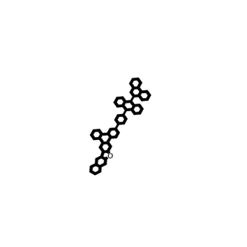 c1ccc2cc3c(cc2c1)oc1cc2c4ccc(-c5ccc(-c6c7ccccc7c(-c7cc8ccccc8c8ccccc78)c7ccccc67)cc5)cc4c4ccccc4c2cc13